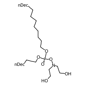 CCCCCCCCCCCCCCCCCCOP(=O)(OCCCCCCCCCCCC)ON(CCO)CCO